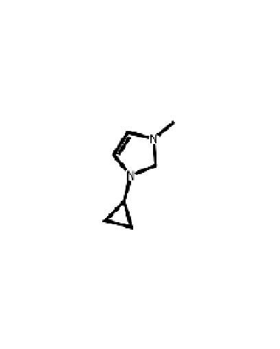 CN1C=CN(C2CC2)C1